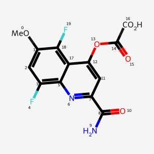 COc1cc(F)c2nc(C(N)=O)cc(OC(=O)C(=O)O)c2c1F